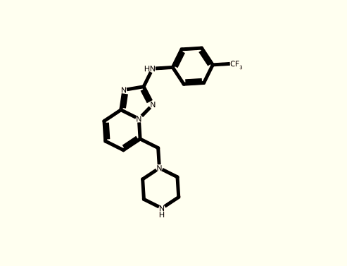 FC(F)(F)c1ccc(Nc2nc3cccc(CN4CCNCC4)n3n2)cc1